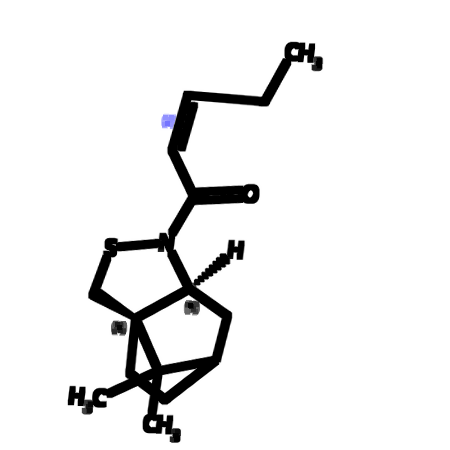 CC/C=C\C(=O)N1SC[C@@]23CCC(C[C@H]12)C3(C)C